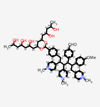 COc1ccc(C(C(C)c2cc[n+](C)cc2)C(c2ccc(C=O)cc2)C(c2cc[n+](C)cc2)C(Cc2ccc(C3OC(CC(O)CC(C)O)CC(CC(O)CC(O)CC(C)O)O3)cc2)c2cc[n+](C)cc2)cc1